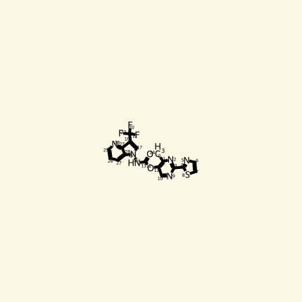 Cc1nc(-c2nccs2)ncc1OC(=O)Nn1cc(C(F)(F)F)c2ncccc21